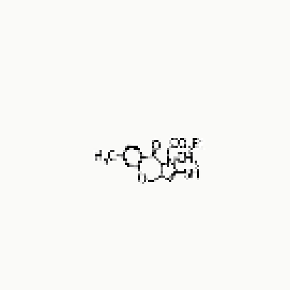 CCOC(=O)C[N+]1(C)C(S)=CC2=C1C(=O)c1ccc(C)cc1OC2